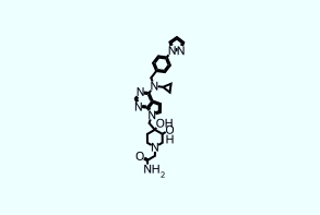 NC(=O)CN1CCC(O)(Cn2ccc3c(N(Cc4ccc(-n5cccn5)cc4)C4CC4)ncnc32)C(O)C1